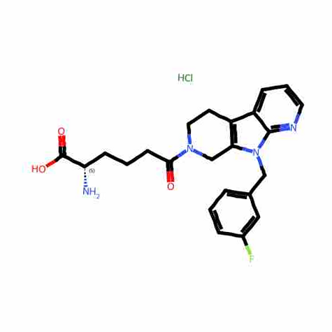 Cl.N[C@@H](CCCC(=O)N1CCc2c(n(Cc3cccc(F)c3)c3ncccc23)C1)C(=O)O